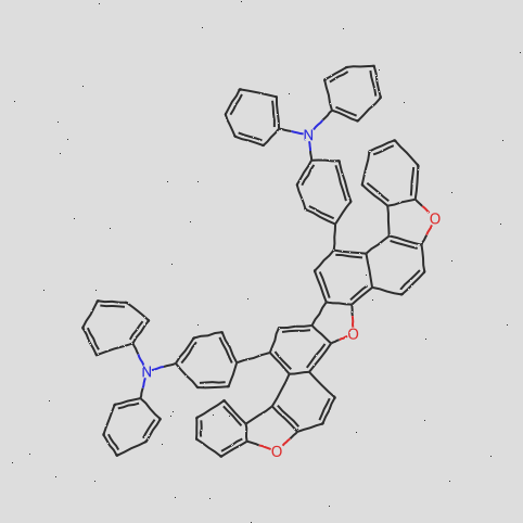 c1ccc(N(c2ccccc2)c2ccc(-c3cc4c5cc(-c6ccc(N(c7ccccc7)c7ccccc7)cc6)c6c(ccc7oc8ccccc8c76)c5oc4c4ccc5oc6ccccc6c5c34)cc2)cc1